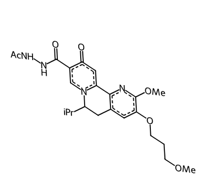 COCCCOc1cc2c(nc1OC)-c1cc(=O)c(C(=O)NNC(C)=O)cn1C(C(C)C)C2